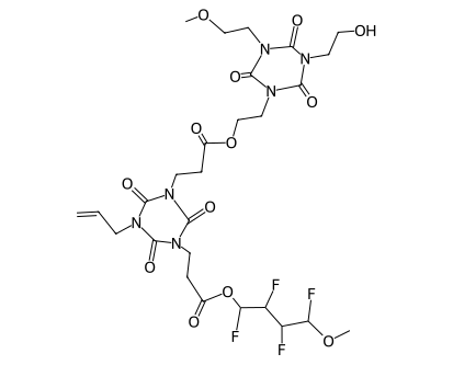 C=CCn1c(=O)n(CCC(=O)OCCn2c(=O)n(CCO)c(=O)n(CCOC)c2=O)c(=O)n(CCC(=O)OC(F)C(F)C(F)C(F)OC)c1=O